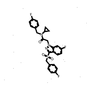 O=C(Cn1nc(S(=O)(=O)Cc2ccc(F)cc2)c2ccc(F)cc21)N(Cc1ccc(F)cc1)C1CC1